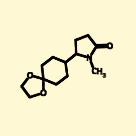 CN1C(=O)CCC1C1CCC2(CC1)OCCO2